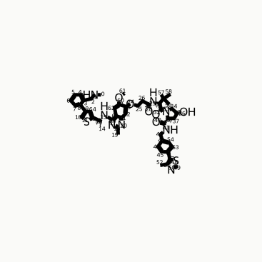 CNCc1ccccc1-c1csc([C@@H](C)Nc2nc(C)nc3cc(OCCC(=O)N[C@H](C(=O)N4C[C@H](O)C[C@H]4C(=O)NCc4ccc(-c5scnc5C)cc4)C(C)(C)C)c(OC)cc23)c1